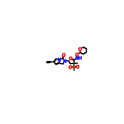 C#Cc1cc2n(c1)C(=O)N(CCC(C)(C(=O)NOC1CCCCO1)S(C)(=O)=O)C2